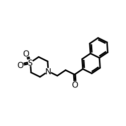 O=C(CCN1CCS(=O)(=O)CC1)c1ccc2ccccc2c1